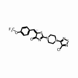 O=C1N=C(N2CCN(c3nsnc3Cl)CC2)S/C1=C/c1ccc(OC(F)(F)F)cc1